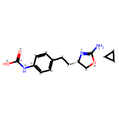 C1CC1.NC1=N[C@@H](CCc2ccc(NC(=O)O)cc2)CO1